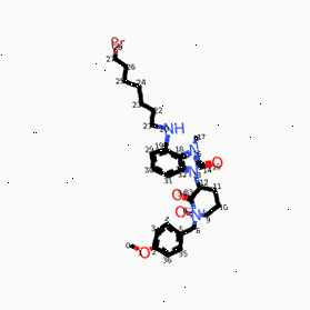 COc1ccc(C[N+]2([O-])CCCC(n3c(=O)n(C)c4c(NCCCCCCCBr)cccc43)C2=O)cc1